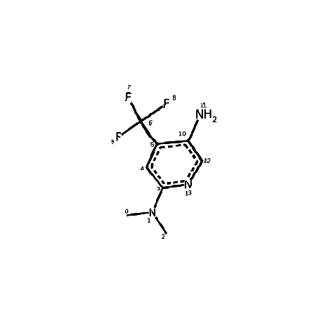 CN(C)c1cc(C(F)(F)F)c(N)cn1